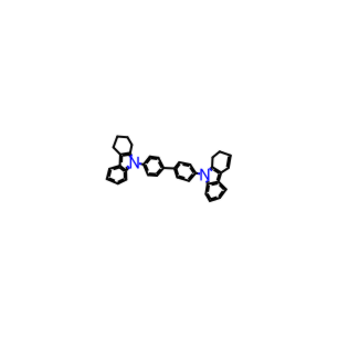 C1=Cc2c(n(-c3ccc(-c4ccc(-n5c6c(c7ccccc75)CCCC6)cc4)cc3)c3ccccc23)CC1